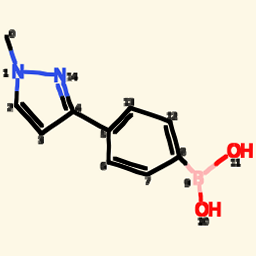 Cn1ccc(-c2ccc(B(O)O)cc2)n1